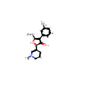 CCN1C=C(C2OC(NC)=C(c3cccc(C(F)(F)F)c3)C2=O)CCC1